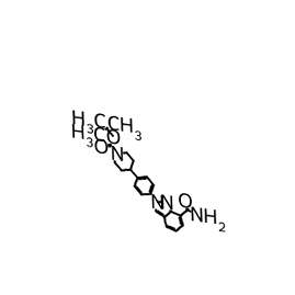 CC(C)(C)OC(=O)N1CCC(c2ccc(-n3cc4cccc(C(N)=O)c4n3)cc2)CC1